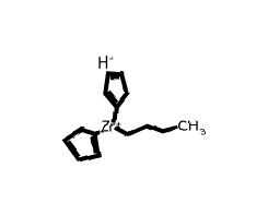 CCC[CH2][Zr+]([C]1=CC=CC1)[C]1=CC=CC1.[H-]